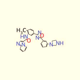 Cc1ccc(-c2noc(-c3cccc(N4CCNCC4)c3)n2)cc1NC(=O)c1cnc2ccccn12